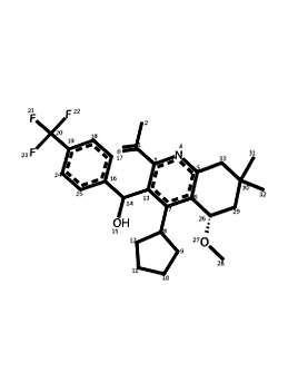 C=C(C)c1nc2c(c(C3CCCC3)c1C(O)c1ccc(C(F)(F)F)cc1)[C@@H](OC)CC(C)(C)C2